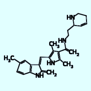 C=C(NCCC1C=CCCN1)c1c(C)[nH]c(/C=c2\c(=C)[nH]c3ccc(C)cc23)c1C